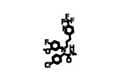 CNC(=O)[C@H](c1ccc(Cl)cc1)N(CCCc1ccc(C(F)(F)F)nc1)c1ccc(F)c(OC)c1